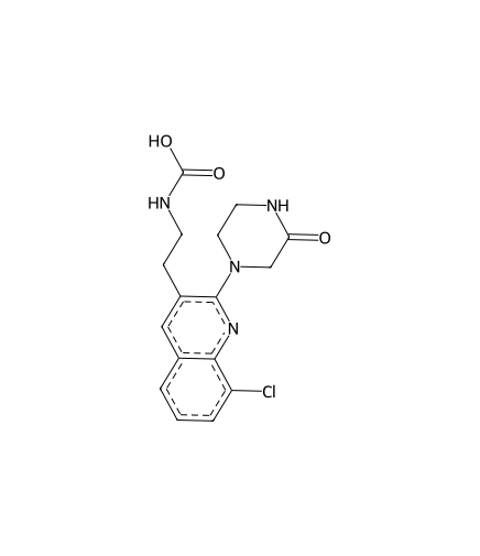 O=C(O)NCCc1cc2cccc(Cl)c2nc1N1CCNC(=O)C1